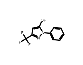 Oc1cc(C(F)(F)F)nn1-c1ccccc1